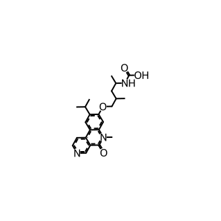 CC(COc1cc2c(cc1C(C)C)c1ccncc1c(=O)n2C)CC(C)NC(=O)O